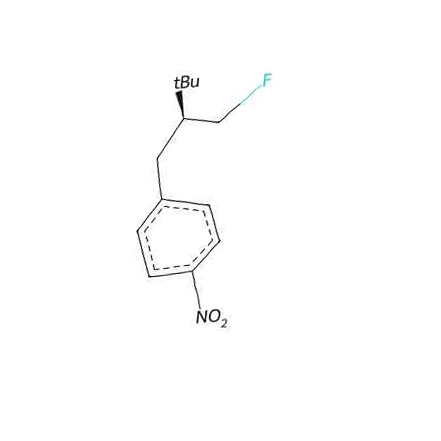 CC(C)(C)[C@@H](CF)Cc1ccc([N+](=O)[O-])cc1